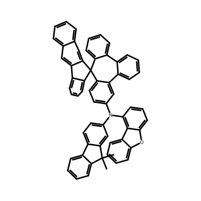 CC1(C)c2ccccc2-c2ccc(N(c3ccc4c(c3)-c3ccccc3-c3ccccc3C43c4ccccc4-c4cc5ccccc5cc43)c3cccc4oc5ccccc5c34)cc21